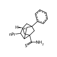 CCCC1C2CC3(c4ccccc4)C[C@@H]1CC2(C(N)=S)C3